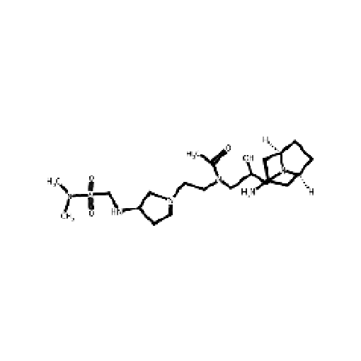 CC(=O)N(CCN1CC[C@@H](NCS(=O)(=O)N(C)C)C1)CC(O)CN1[C@@H]2CC[C@H]1CC(N)C2